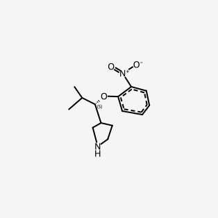 CC(C)[C@H](Oc1ccccc1[N+](=O)[O-])C1CCNC1